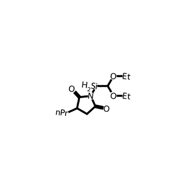 CCCC1CC(=O)N([SiH2]C(OCC)OCC)C1=O